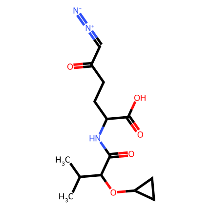 CC(C)C(OC1CC1)C(=O)NC(CCC(=O)C=[N+]=[N-])C(=O)O